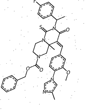 COc1cc(/C=C2/C(=O)N(C(C)c3ccc(F)cc3)C(=S)N3CCN(C(=O)OCc4ccccc4)CC23C)ccc1-n1cnc(C)c1